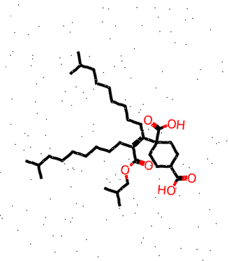 CC(C)CCCCCCCC(C(=O)OCC(C)C)=C(CCCCCCCC(C)C)C1(C(=O)O)CCC(C(=O)O)CC1